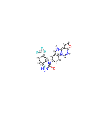 CN(C)C1c2ccoc2N=CN1c1ccc(N(C(N)=O)c2cc(C(F)(F)F)ccc2F)cc1